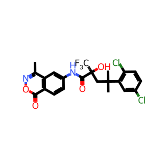 Cc1noc(=O)c2ccc(NC(=O)C(O)(CC(C)(C)c3cc(Cl)ccc3Cl)C(F)(F)F)cc12